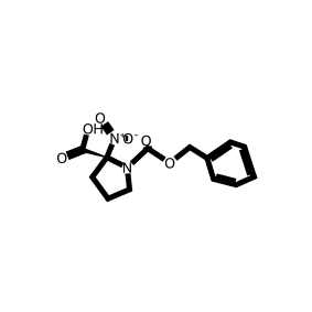 O=C(OCc1ccccc1)N1CCC[C@]1(C(=O)O)[N+](=O)[O-]